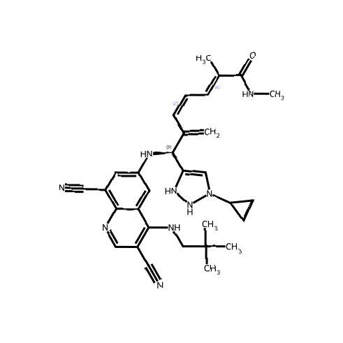 C=C(/C=C\C=C(/C)C(=O)NC)[C@H](Nc1cc(C#N)c2ncc(C#N)c(NCC(C)(C)C)c2c1)C1=CN(C2CC2)NN1